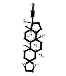 C[C@]12CCC3(C[C@@H]1CC[C@@H]1[C@@H]2CC[C@@]2(C)[C@H]1CC[C@@]2(O)C#CBr)OCCO3